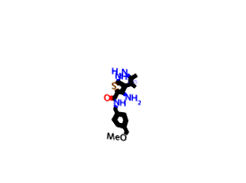 COCc1ccc(CNC(=O)c2sc(N)c(/C(C)=C(/C)N)c2N)cc1